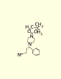 CC(C)(C)OC(=O)N1CCN(C(CCC#N)c2ccccc2)CC1